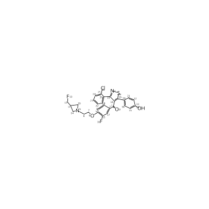 O=C(c1ccc(OCCN2CC(CF)C2)c(F)c1)c1c(-c2ccccc2Cl)nsc1-c1ccc(O)cc1